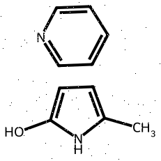 Cc1ccc(O)[nH]1.c1ccncc1